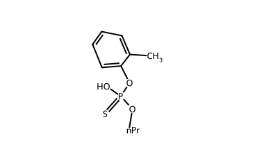 CCCOP(O)(=S)Oc1ccccc1C